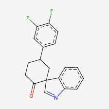 O=C1CCC(c2ccc(F)c(F)c2)CC12C=Nc1ccccc12